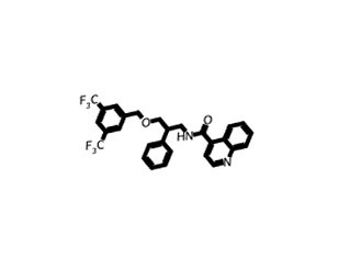 O=C(NCC(COCc1cc(C(F)(F)F)cc(C(F)(F)F)c1)c1ccccc1)c1ccnc2ccccc12